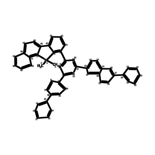 C[Si]1(C)c2c(-c3nc(-c4ccc(-c5ccccc5)cc4)nc(-c4ccc5cc(-c6ccccc6)ccc5c4)n3)cccc2-c2ccc3ccccc3c21